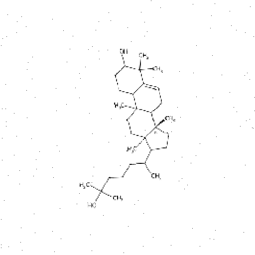 CC(CCCC(C)(C)O)C1CC[C@@]2(C)C3CC=C4C(CCC(O)C4(C)C)C3(C)CCC12C